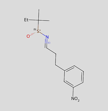 CCC(C)(C)[S@@+]([O-])/N=C/CCc1cccc([N+](=O)[O-])c1